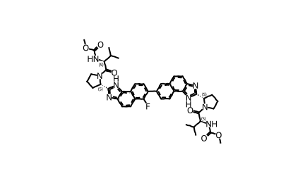 COC(=O)N[C@H](C(=O)N1CCC[C@H]1c1nc2ccc3cc(-c4ccc5c(ccc6nc([C@@H]7CCCN7C(=O)[C@@H](NC(=O)OC)C(C)C)[nH]c65)c4F)ccc3c2[nH]1)C(C)C